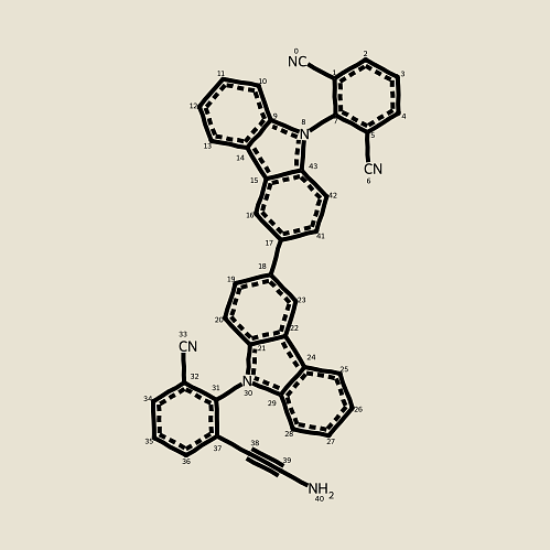 N#Cc1cccc(C#N)c1-n1c2ccccc2c2cc(-c3ccc4c(c3)c3ccccc3n4-c3c(C#N)cccc3C#CN)ccc21